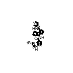 CC(C)(C)OC(=O)Nc1cc(C(=O)NC2C3=C(CCC=C3)c3c(-c4nc5ccncc5[nH]4)cccc32)ccn1